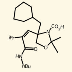 CCCCNC(=O)C(=CC1(CC2CCCCC2)COC(C)(C)N1C(=O)O)C(C)C